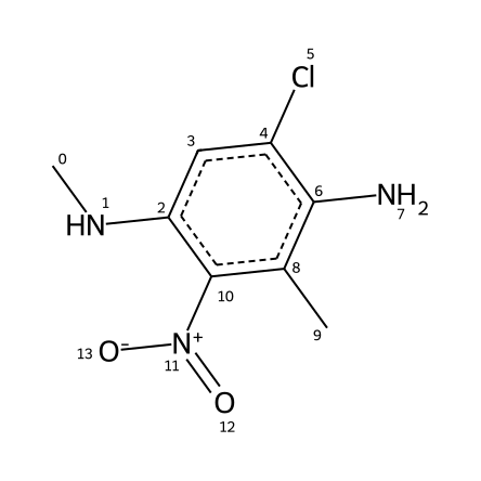 CNc1cc(Cl)c(N)c(C)c1[N+](=O)[O-]